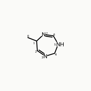 CC1C=NCNC=N1